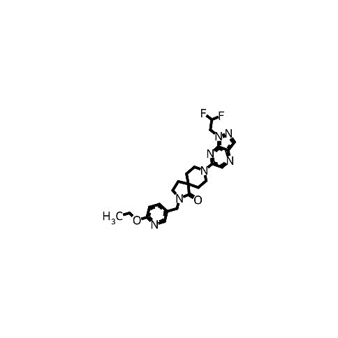 CCOc1ccc(CN2CCC3(CCN(c4cnc5cnn(CC(F)F)c5n4)CC3)C2=O)cn1